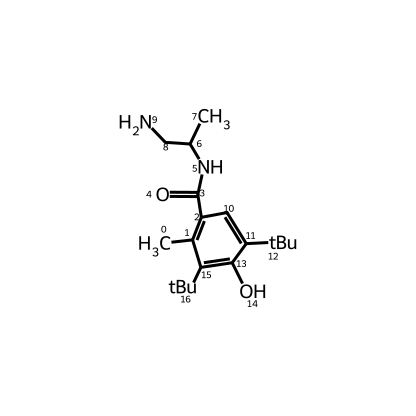 Cc1c(C(=O)NC(C)CN)cc(C(C)(C)C)c(O)c1C(C)(C)C